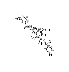 O=C[C@H](OC(=O)CNC(=O)c1ccc(O)cc1)[C@@H](OC(=O)CNC(=O)c1cccc(O)c1)[C@H](O)[C@H](O)CO